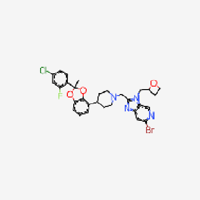 CC1(c2ccc(Cl)cc2F)Oc2cccc(C3CCN(Cc4nc5cc(Br)ncc5n4CC4CCO4)CC3)c2O1